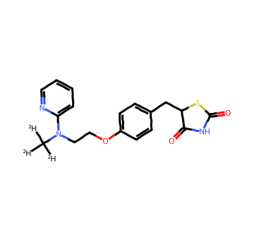 [2H]C([2H])([2H])N(CCOc1ccc(CC2SC(=O)NC2=O)cc1)c1ccccn1